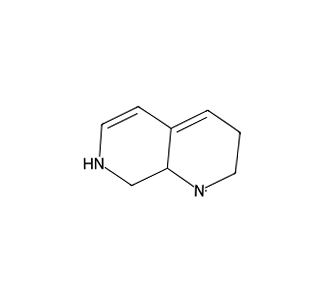 C1=CC2=CCC[N]C2CN1